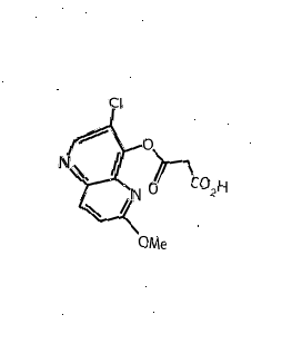 COc1ccc2ncc(Cl)c(OC(=O)CC(=O)O)c2n1